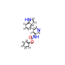 O=C(Nc1cncc(-c2cccc3[nH]ccc23)c1)Oc1ccccc1